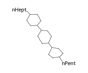 CCCCCCCC1CCC(C2CCC(C3CCC(CCCCC)CC3)CC2)CC1